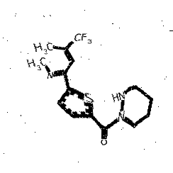 C/N=C(\C=C(/C)C(F)(F)F)c1ccc(C(=O)N2CCCCN2)s1